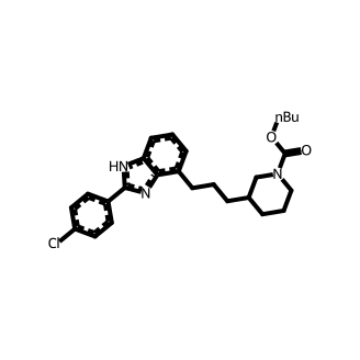 CCCCOC(=O)N1CCCC(CCCc2cccc3[nH]c(-c4ccc(Cl)cc4)nc23)C1